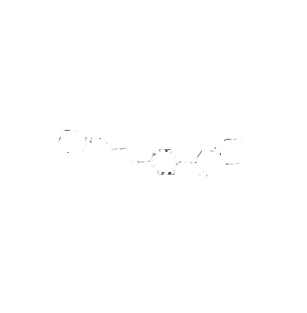 Cc1cc(OCCCN2CCCCC2)ccc1C(=O)CN1CCOCC1